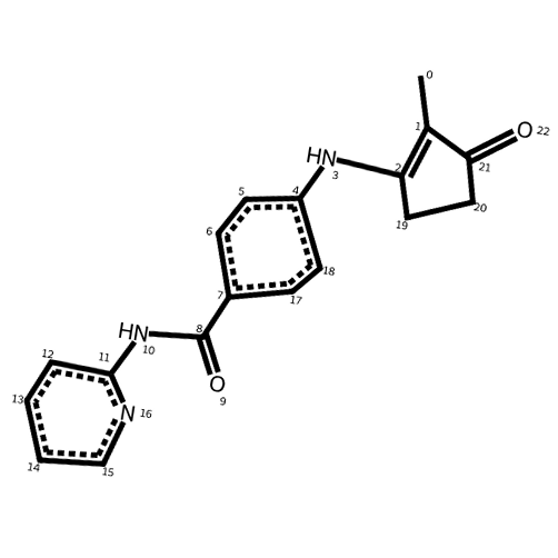 CC1=C(Nc2ccc(C(=O)Nc3ccccn3)cc2)CCC1=O